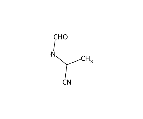 CC(C#N)[N]C=O